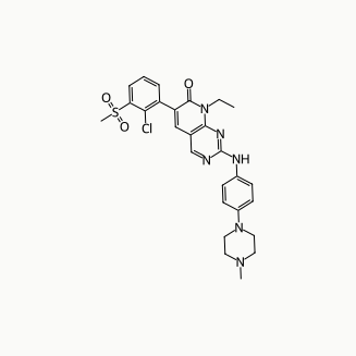 CCn1c(=O)c(-c2cccc(S(C)(=O)=O)c2Cl)cc2cnc(Nc3ccc(N4CCN(C)CC4)cc3)nc21